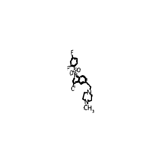 CN1CCN(Cc2ccc3c(c2)c(Cl)cn3S(=O)(=O)c2ccc(F)cc2F)CC1